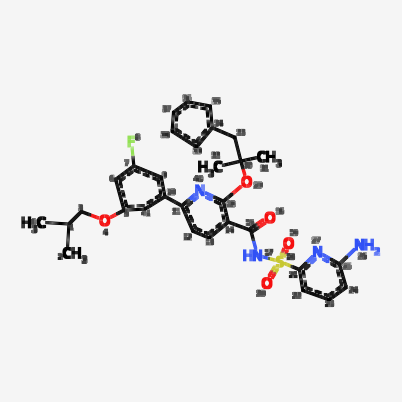 CC(C)COc1cc(F)cc(-c2ccc(C(=O)NS(=O)(=O)c3cccc(N)n3)c(OC(C)(C)Cc3ccccc3)n2)c1